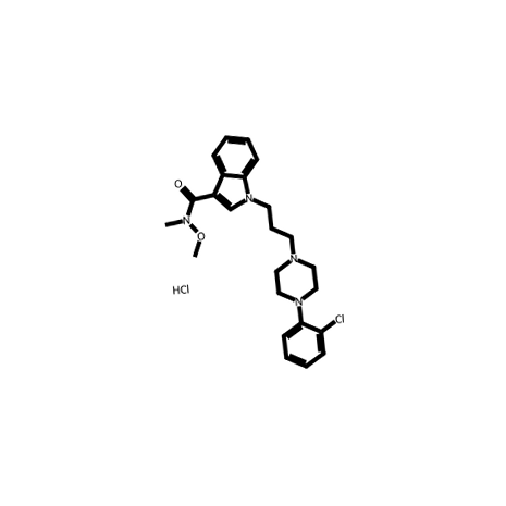 CON(C)C(=O)c1cn(CCCN2CCN(c3ccccc3Cl)CC2)c2ccccc12.Cl